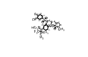 CN1CCN(C[C@H]2CN(S(=O)(=O)c3ccc(F)c(Cl)c3)c3cc(N(C(=O)O)C(C)(C)C(F)(F)F)ccc3O2)S1(=O)=O